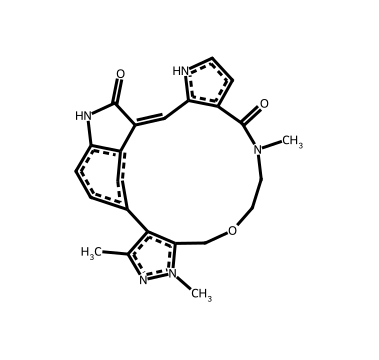 Cc1nn(C)c2c1-c1ccc3c(c1)/C(=C/c1[nH]ccc1C(=O)N(C)CCOC2)C(=O)N3